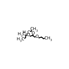 CCCCOC[C](COC(C)CC)OC(C)C